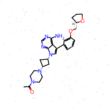 CC(=O)N1CCN([C@H]2C[C@@H](n3cc(-c4cccc(OC[C@@H]5CCCO5)c4)c4c(N)ncnc43)C2)CC1